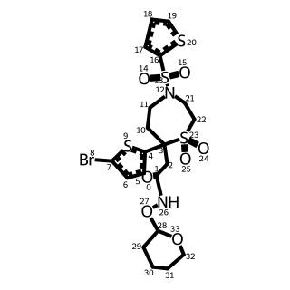 O=C(CC1(c2ccc(Br)s2)CCN(S(=O)(=O)c2cccs2)CCS1(=O)=O)NOC1CCCCO1